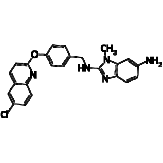 Cn1c(NCc2ccc(Oc3ccc4cc(Cl)ccc4n3)cc2)nc2ccc(N)cc21